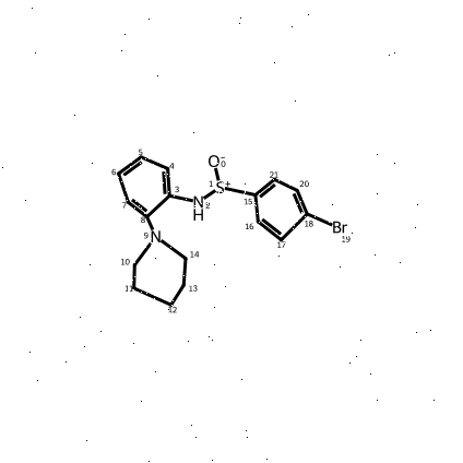 [O-][S+](Nc1ccccc1N1CCCCC1)c1ccc(Br)cc1